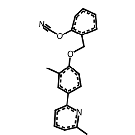 Cc1cccc(-c2ccc(OCc3ccccc3OC#N)c(C)c2)n1